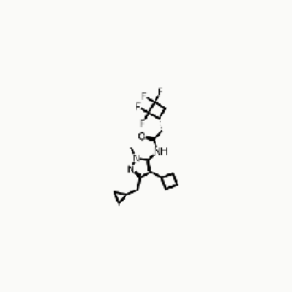 Cn1nc(CC2CC2)c(C2CCC2)c1NC(=O)C[C@H]1CC(F)(F)C1(F)F